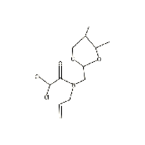 C=CCN(CC1OCC(C)C(C)O1)C(=O)C(Cl)Cl